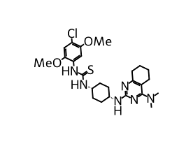 COc1cc(NC(=S)N[C@H]2CC[C@@H](Nc3nc4c(c(N(C)C)n3)CCCC4)CC2)c(OC)cc1Cl